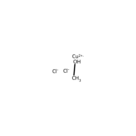 CO.[Cl-].[Cl-].[Cu+2]